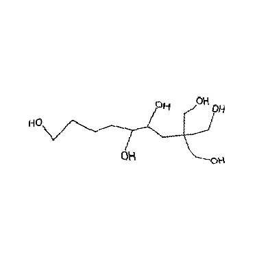 OCCCCC(O)C(O)CC(CO)(CO)CO